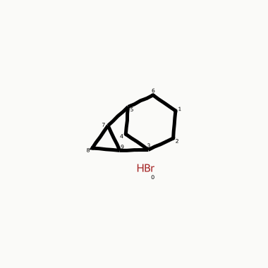 Br.C1CC2CC(C1)C1CC21